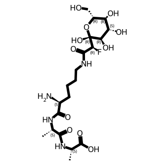 C[C@H](NC(=O)[C@H](C)NC(=O)[C@@H](N)CCCCNC(=O)[C@H](F)[C@]1(O)O[C@H](CO)[C@H](O)[C@H](O)[C@H]1O)C(=O)O